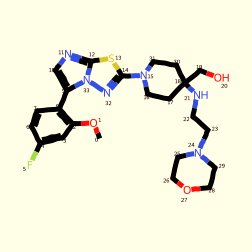 COc1cc(F)ccc1-c1cnc2sc(N3CCC(CO)(NCCN4CCOCC4)CC3)nn12